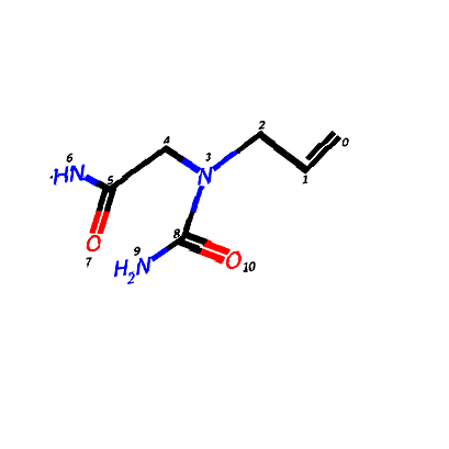 C=CCN(CC([NH])=O)C(N)=O